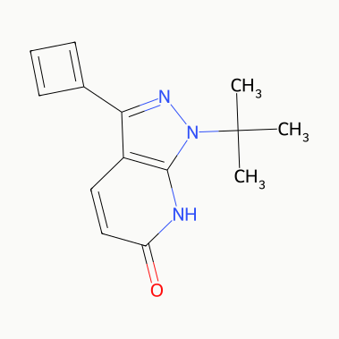 CC(C)(C)n1nc(C2=CC=C2)c2ccc(=O)[nH]c21